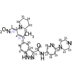 C=N/C=C(\C=C(/C)c1ccc2[nH]nc(C(=O)Nc3ccc(N4CCNCC4)nc3)c2c1)N1CCCCC1